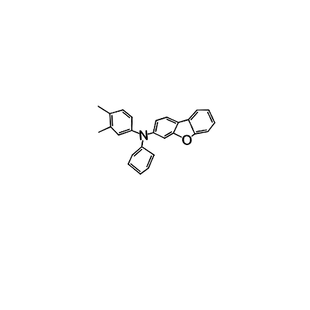 Cc1ccc(N(c2ccccc2)c2ccc3c(c2)oc2ccccc23)cc1C